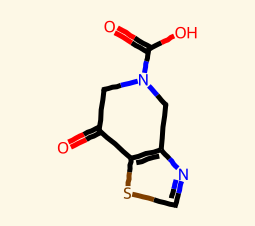 O=C1CN(C(=O)O)Cc2ncsc21